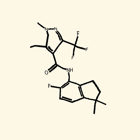 Cc1c(C(=O)Nc2c(F)ccc3c2CCC3(C)C)c(C(F)(F)F)nn1C